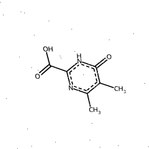 Cc1nc(C(=O)O)[nH]c(=O)c1C